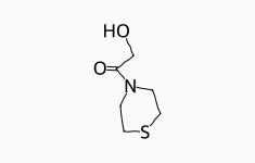 O=C(CO)N1CCSCC1